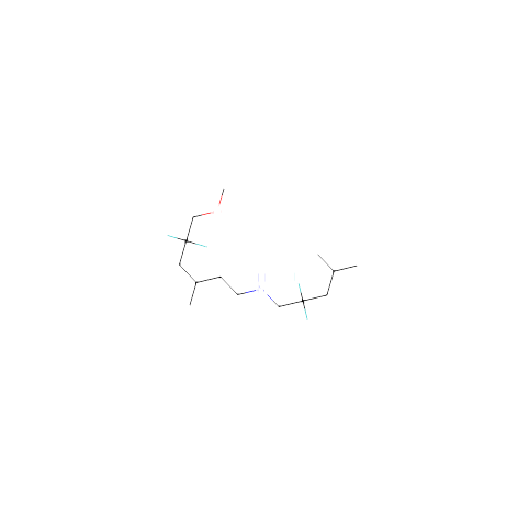 COCC(F)(F)CC(C)CCNCC(F)(F)CC(C)C